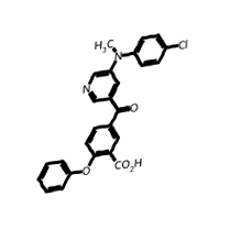 CN(c1ccc(Cl)cc1)c1cncc(C(=O)c2ccc(Oc3ccccc3)c(C(=O)O)c2)c1